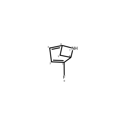 FC1=CC=C2CC1N2